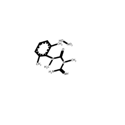 Cc1cccc(C)c1N(C)C(=O)N(C)C(=N)N.O=[N+]([O-])O